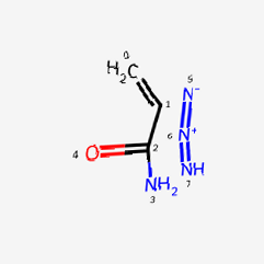 C=CC(N)=O.[N-]=[N+]=N